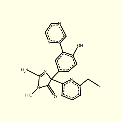 CN1C(=O)C(c2ccc(O)c(-c3cnccn3)c2)(c2cccc(CF)n2)N=C1N